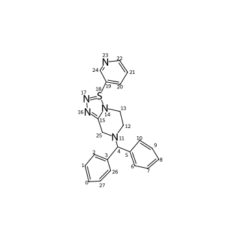 c1ccc(C(c2ccccc2)N2CCN3C(=NN=S3c3cccnc3)C2)cc1